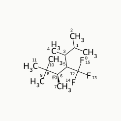 CC(C)C(C)C([C@@H](C)C(C)(C)C)C(F)(F)F